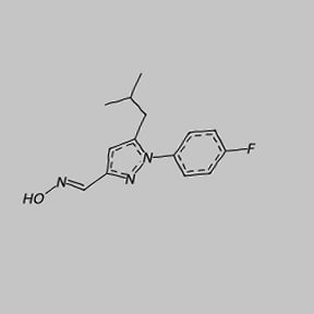 CC(C)Cc1cc(C=NO)nn1-c1ccc(F)cc1